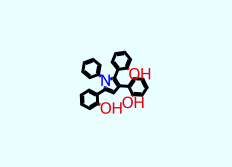 Oc1ccccc1-c1cc(-c2ccccc2O)n(-c2ccccc2)c1-c1ccccc1O